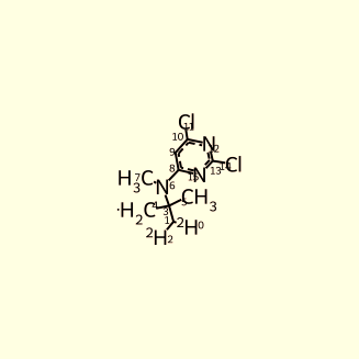 [2H]C([2H])C([CH2])(C)N(C)c1cc(Cl)nc(Cl)n1